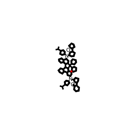 CC(C)c1ccc(N(c2ccc3c4c(c5ccccc5c3c2)-c2c(cc(N(c3ccc(C(C)C)cc3)c3cccc5c3oc3ccccc35)c3ccccc23)C4(c2ccccc2)c2ccccc2)c2cccc3c2oc2ccccc23)cc1